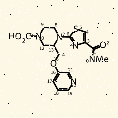 CNC(=O)c1csc(N2CCN(C(=O)O)CC2COc2cccnc2)n1